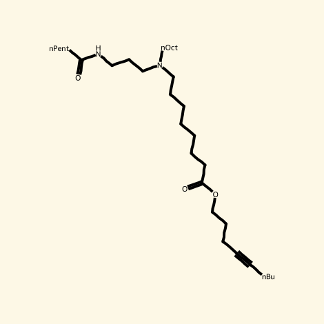 CCCCC#CCCCOC(=O)CCCCCCCN(CCCCCCCC)CCCNC(=O)CCCCC